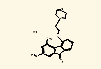 CCCOc1cc(OC)c2c(c1)C(=O)c1cccc(OCCN3CCOCC3)c1-2.Cl